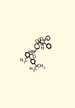 Cc1cccc(C(=O)NCC2=CCC(C)(C(=O)NC(C(=O)N3CCCC3)c3ccccc3)CC2)c1-c1ccc(C(C)C)cc1